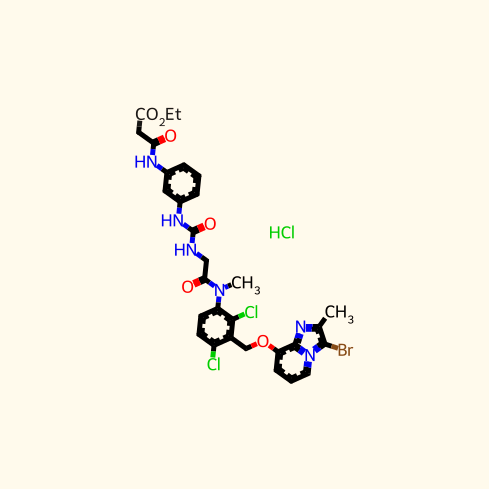 CCOC(=O)CC(=O)Nc1cccc(NC(=O)NCC(=O)N(C)c2ccc(Cl)c(COc3cccn4c(Br)c(C)nc34)c2Cl)c1.Cl